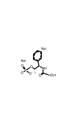 CCCCCCCCC(=O)N[C@H](c1ccccc1)[C@H](C)OP(=O)([O-])[O-].[Na+].[Na+]